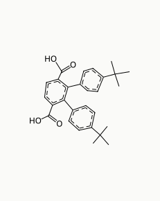 CC(C)(C)c1ccc(-c2c(C(=O)O)ccc(C(=O)O)c2-c2ccc(C(C)(C)C)cc2)cc1